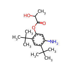 CC(O)C(=O)Oc1cc(N)c(C(C)(C)C)cc1C(C)(C)C